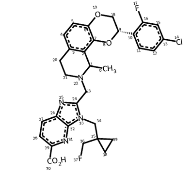 CC1c2c(ccc3c2O[C@@H](c2ccc(Cl)cc2F)CO3)CCN1Cc1nc2ccc(C(=O)O)nc2n1CC1(CF)CC1